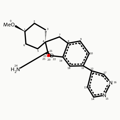 CO[C@H]1CC[C@]2(CC1)Cc1ccc(-c3ccnnc3)cc1C21COC(N)=N1